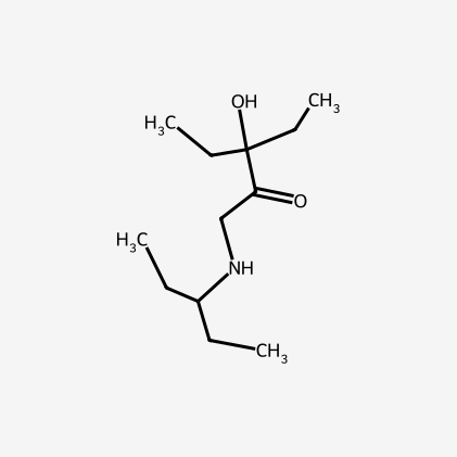 CCC(CC)NCC(=O)C(O)(CC)CC